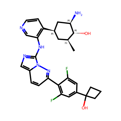 C[C@H]1C[C@@H](c2ccncc2Nc2ncc3ccc(-c4c(F)cc(C5(O)CCC5)cc4F)nn23)C[C@@H](N)[C@@H]1O